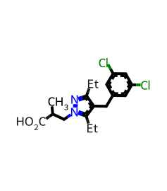 CCc1nn(CC(C)C(=O)O)c(CC)c1Cc1cc(Cl)cc(Cl)c1